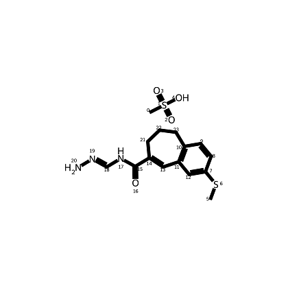 CS(=O)(=O)O.CSc1ccc2c(c1)C=C(C(=O)NC=NN)CCC2